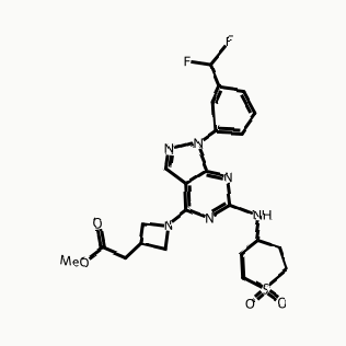 COC(=O)CC1CN(c2nc(NC3CCS(=O)(=O)CC3)nc3c2cnn3-c2cccc(C(F)F)c2)C1